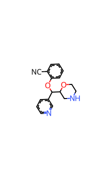 N#Cc1ccccc1OC(c1cccnc1)C1CNCCO1